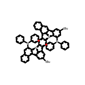 CC(C)(C)c1cc(N(c2ccccc2)c2ccccc2)c2c(c1)c1cc3ccccc3c3c4cc5c(cc4n2c13)c1cc(C(C)(C)C)cc2c3c4ccccc4cc(N(c4ccccc4)c4ccccc4)c3n5c12